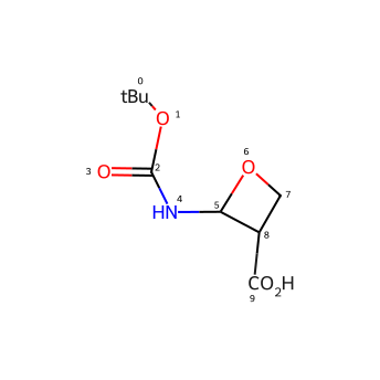 CC(C)(C)OC(=O)NC1OCC1C(=O)O